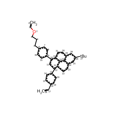 C=COCCCc1ccc(-c2cc(-c3ccc(C=C)cc3)c3ccc4cc(C(C)(C)C)cc5ccc2c3c45)cc1